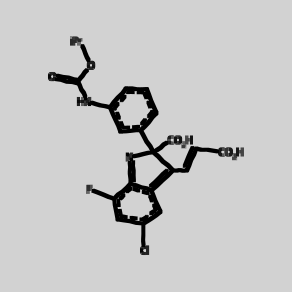 CC(C)OC(=O)Nc1cccc(C2(C(=O)O)N=c3c(F)cc(Cl)cc3=C2C=CC(=O)O)c1